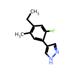 CCc1cc(F)c(-c2cn[nH]c2)cc1C